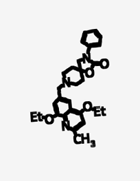 CCOc1cc(C)nc2c(OCC)cc(CN3CCC4(CC3)CN(c3ccccc3)C(=O)O4)cc12